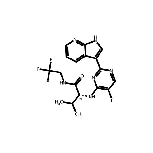 CC(C)[C@@H](Nc1nc(-c2c[nH]c3ncccc23)ncc1F)C(=O)NCC(F)(F)F